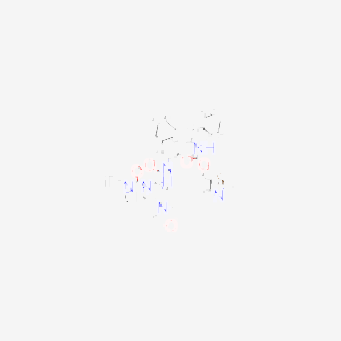 CC(C)N(C)C(=O)N1C[C@@H](N2CCOCC2)C[C@H]1C(=O)N[C@H](CC[C@H](Cc1ccccc1)NC(=O)OCc1cncs1)Cc1ccccc1